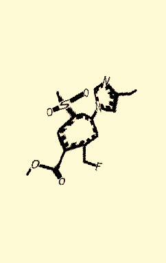 COC(=O)c1cc(S(C)(=O)=O)c(-n2cnc(C)c2)cc1CF